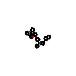 c1ccc(N(c2ccc(-c3ccc(-c4ccccc4-n4c5ccccc5c5ccccc54)cc3)cc2)c2cccc(-c3ccc4ccccc4c3)c2)cc1